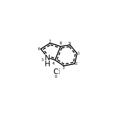 [C].c1ccc2[nH]ccc2c1